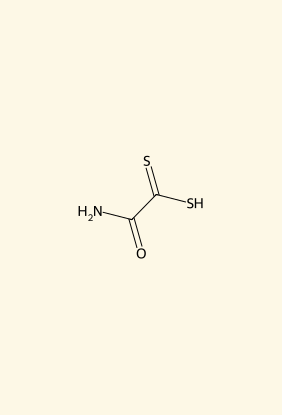 NC(=O)C(=S)S